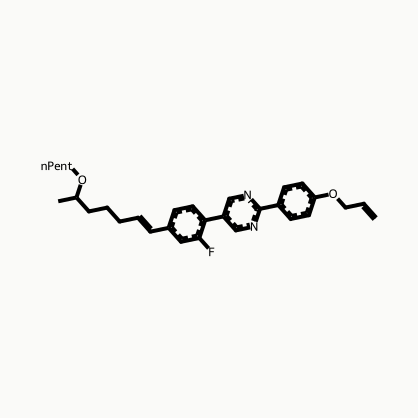 C=CCOc1ccc(-c2ncc(-c3ccc(C=CCCCC(C)OCCCCC)cc3F)cn2)cc1